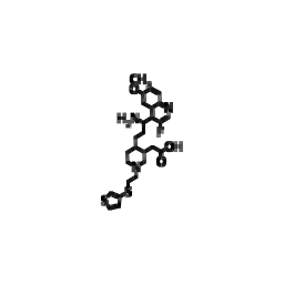 COc1ccc2ncc(F)c([C@H](N)CCC3CCN(CCSc4ccsc4)CC3CC(=O)O)c2c1